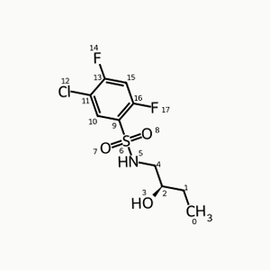 CC[C@@H](O)CNS(=O)(=O)c1cc(Cl)c(F)cc1F